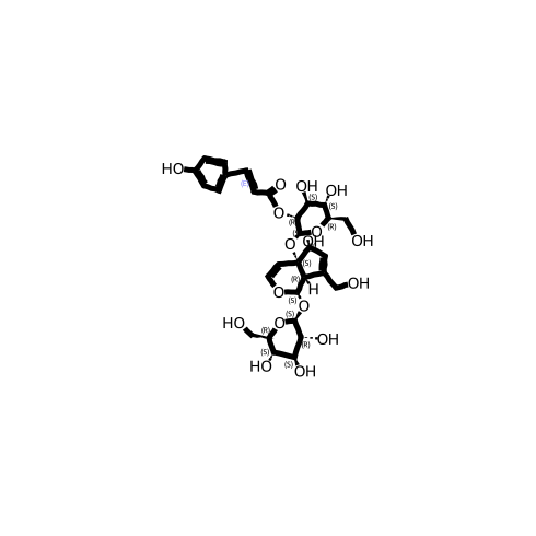 O=C(/C=C/c1ccc(O)cc1)O[C@H]1[C@H](O[C@@]23C=CO[C@@H](O[C@@H]4O[C@H](CO)[C@@H](O)[C@H](O)[C@H]4O)[C@@H]2C(CO)=C[C@H]3O)O[C@H](CO)[C@@H](O)[C@@H]1O